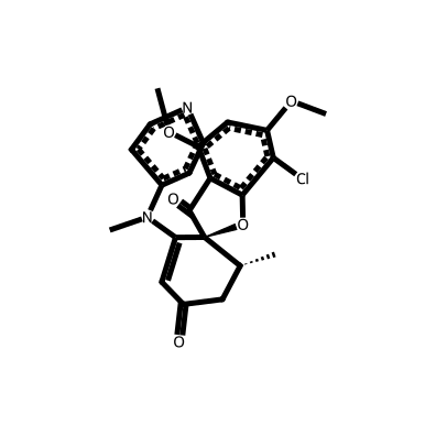 COc1cc(OC)c2c(c1Cl)O[C@]1(C2=O)C(N(C)c2ccncc2)=CC(=O)C[C@H]1C